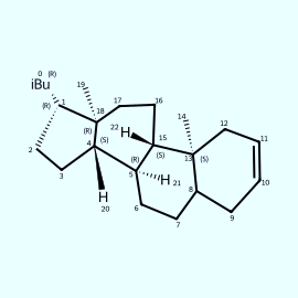 CC[C@@H](C)[C@H]1CC[C@H]2[C@@H]3CCC4CC=CC[C@]4(C)[C@H]3CC[C@]12C